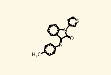 Cc1ccc(/N=C2/C(=O)N(c3ccsc3)c3ccccc32)cc1